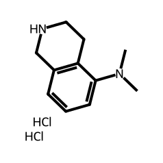 CN(C)c1cccc2c1CCNC2.Cl.Cl